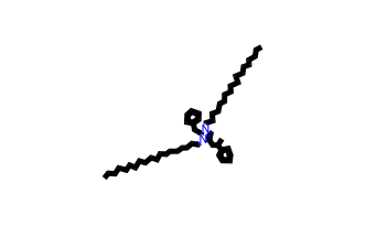 CCCCCCCCCCCCCCCCCCC[n+]1c(CC(C)c2ccccc2)cn(CCCCCCCCCCCCCCCCCC)c1Cc1ccccc1